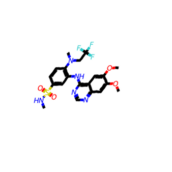 CNS(=O)(=O)c1ccc(N(C)CC(F)(F)F)c(Nc2ncnc3cc(OC)c(OC)cc23)c1